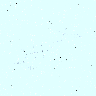 C=C(C(=O)C(C)CC)C(C)(C)C(C)(C)OCCC(C)(C)OC